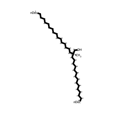 CCCCCCCCCCCCCCCCCCCCCCCCCC[C@@](C)(CO)CCCCCCCCCCCCCCCCCCCCCCCC